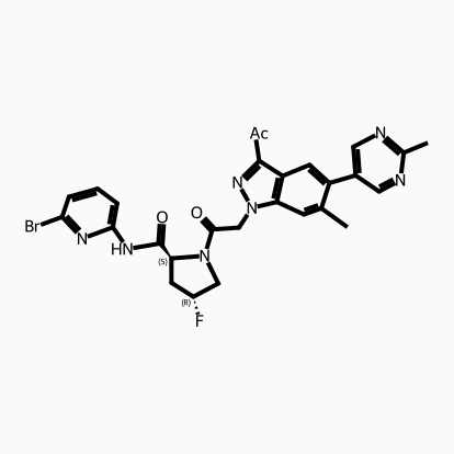 CC(=O)c1nn(CC(=O)N2C[C@H](F)C[C@H]2C(=O)Nc2cccc(Br)n2)c2cc(C)c(-c3cnc(C)nc3)cc12